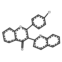 O=c1c(-c2ccc3ccccc3n2)c(-c2ccc(Cl)cc2)oc2ccccc12